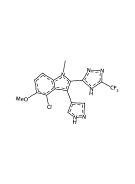 COc1ccc2c(c1Cl)c(-c1cn[nH]c1)c(-c1nnc(C(F)(F)F)[nH]1)n2C